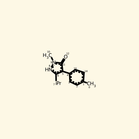 Cc1ccc(-c2c(C(C)C)[nH]n(C)c2=O)cc1